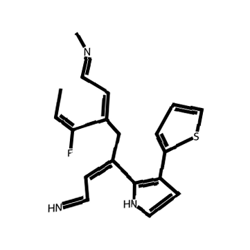 C\C=C(F)/C(=C\C=N\C)C/C(=C/C=N)c1[nH]ccc1-c1cccs1